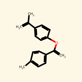 C=C(C)c1ccc(OC(=C)c2ccc(C)cc2)cc1